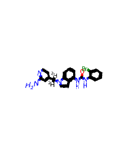 [2H]C([2H])(c1ccnc(N)c1)n1ccc2c(NC(=O)Nc3ccccc3Br)cccc21